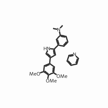 COc1cc(-c2c[nH]c(-c3cccc(N(C)C)c3)c2)cc(OC)c1OC.c1ccncc1